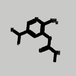 CNC(=O)Oc1cc(C(F)F)cnc1N